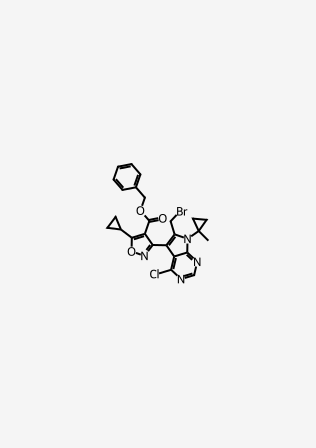 CC1(n2c(CBr)c(-c3noc(C4CC4)c3C(=O)OCc3ccccc3)c3c(Cl)ncnc32)CC1